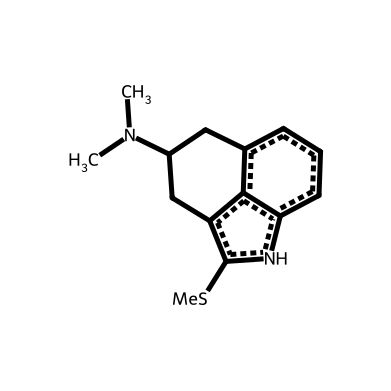 CSc1[nH]c2cccc3c2c1CC(N(C)C)C3